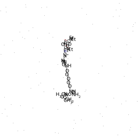 CCN(CC)c1ccc2c(c1)Oc1cc(N(CC)CC)ccc1C21c2ccccc2C(=O)N1c1ccc(/C=C/c2cc[n+](CCc3cn(CC(=O)NCCCOCCOCCOCCOCCOCCCNc4cc(-n5nc(C)c6c5CC(C)(C)CC6=O)ccc4C(N)=O)nn3)cc2)cc1